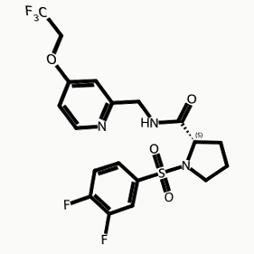 O=C(NCc1cc(OCC(F)(F)F)ccn1)[C@@H]1CCCN1S(=O)(=O)c1ccc(F)c(F)c1